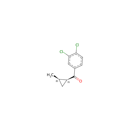 C[C@@H]1C[C@@H]1C(=O)c1ccc(Cl)c(Cl)c1